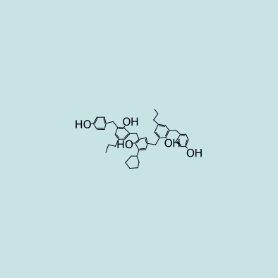 CCCc1cc(Cc2ccc(O)cc2)c(O)c(Cc2cc(Cc3cc(CCC)cc(Cc4ccc(O)cc4)c3O)c(O)c(C3CCCCC3)c2)c1